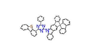 c1ccc(-c2nc(-c3cccc4c3sc3ccccc34)nc(-n3c4ccccc4c4cc5c(cc43)-c3ccccc3C53c4ccccc4-c4ccccc43)n2)cc1